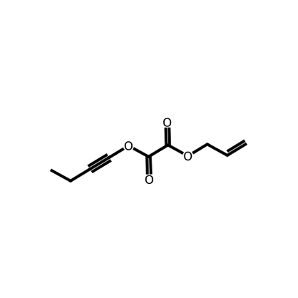 C=CCOC(=O)C(=O)OC#CCC